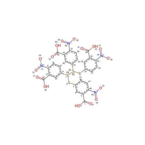 O=C(O)c1cc(S[SH](c2ccc([N+](=O)[O-])c(C(=O)O)c2)[SH](Sc2ccc([N+](=O)[O-])c(C(=O)O)c2)c2ccc([N+](=O)[O-])c(C(=O)O)c2)ccc1[N+](=O)[O-]